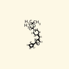 CC(C)(C)OC(=O)N1CCC(=Cc2coc(-c3cccs3)n2)CC1